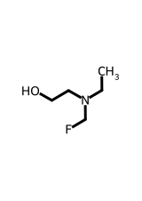 CCN(CF)CCO